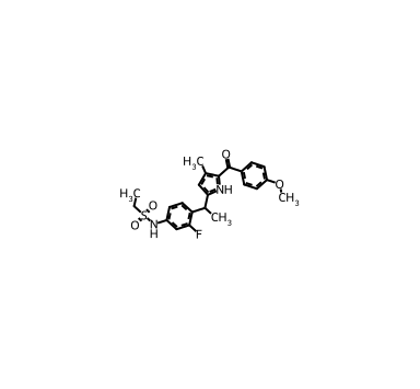 CCS(=O)(=O)Nc1ccc(C(C)c2cc(C)c(C(=O)c3ccc(OC)cc3)[nH]2)c(F)c1